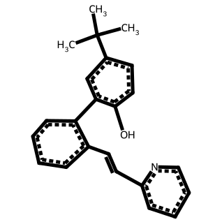 CC(C)(C)c1ccc(O)c(-c2ccccc2C=Cc2ccccn2)c1